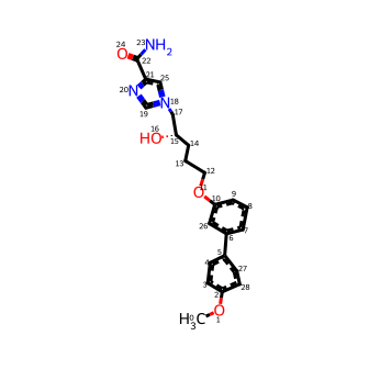 COc1ccc(-c2cccc(OCCC[C@H](O)Cn3cnc(C(N)=O)c3)c2)cc1